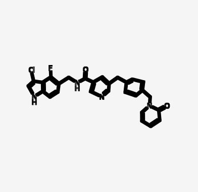 O=C(NCc1ccc2[nH]cc(Cl)c2c1F)c1cncc(Cc2ccc(Cn3ccccc3=O)cc2)c1